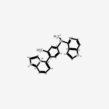 Cc1cc(N(C)c2nccc3occc23)ccc1-c1cccc2nccn12